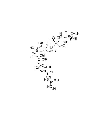 CCC(CO)(CO)CO.CCC(CO)(CO)CO.CCC(CO)(CO)CO.CCC(CO)(CO)CO.OP(O)O.OP(O)O.OP(O)O.OP(O)O.[Ni]